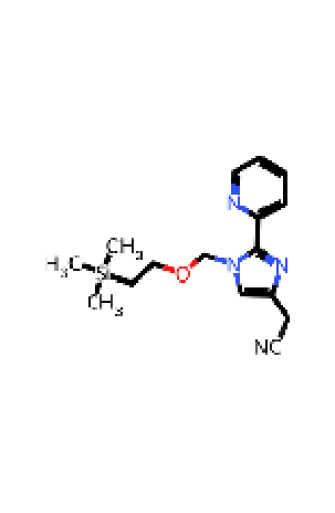 C[Si](C)(C)CCOCn1cc(CC#N)nc1-c1ccccn1